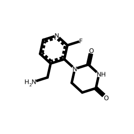 NCc1ccnc(F)c1N1CCC(=O)NC1=O